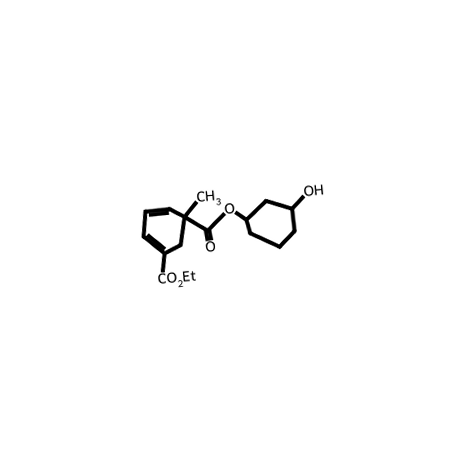 CCOC(=O)C1=CC=CC(C)(C(=O)OC2CCCC(O)C2)C1